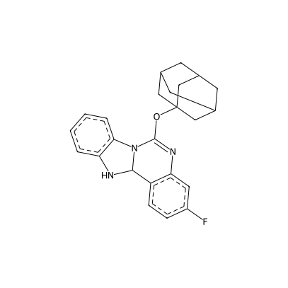 Fc1ccc2c(c1)N=C(OC13CC4CC(CC(C4)C1)C3)N1c3ccccc3NC21